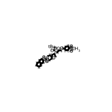 CC(C)(C)OC(=O)N(C[C@H](O)COc1ccc(S(C)(=O)=O)cc1)C1COC2(CCN(S(=O)(=O)c3ccc4ccccc4c3)CC2)C1